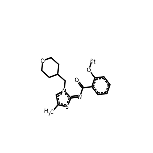 CCOc1ccccc1C(=O)N=c1sc(C)cn1CC1CCOCC1